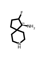 N[C@@H]1C(F)CCC12CCNCC2